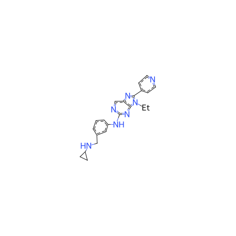 CCn1c(-c2ccncc2)nc2cnc(Nc3cccc(CNC4CC4)c3)nc21